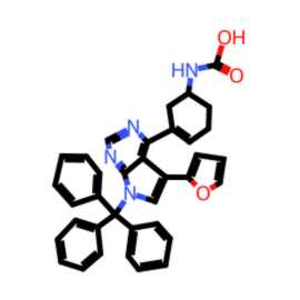 O=C(O)NC1CCC=C(c2ncnc3c2c(-c2ccco2)cn3C(c2ccccc2)(c2ccccc2)c2ccccc2)C1